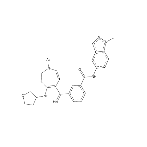 CC(=O)N1C=CC(C(=N)c2cccc(C(=O)Nc3ccc4c(cnn4C)c3)c2)=C(NC2CCOC2)CC1